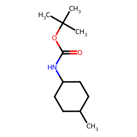 CC1CCC(NC(=O)OC(C)(C)C)CC1